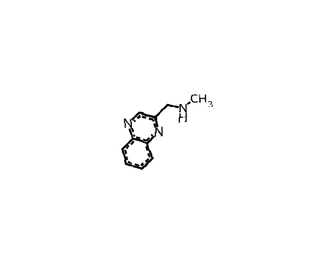 CNCc1cnc2ccccc2n1